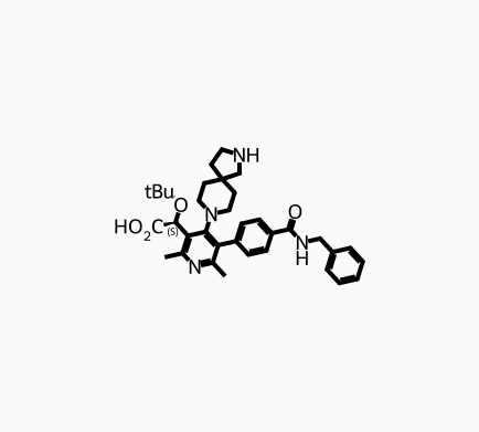 Cc1nc(C)c([C@H](OC(C)(C)C)C(=O)O)c(N2CCC3(CCNC3)CC2)c1-c1ccc(C(=O)NCc2ccccc2)cc1